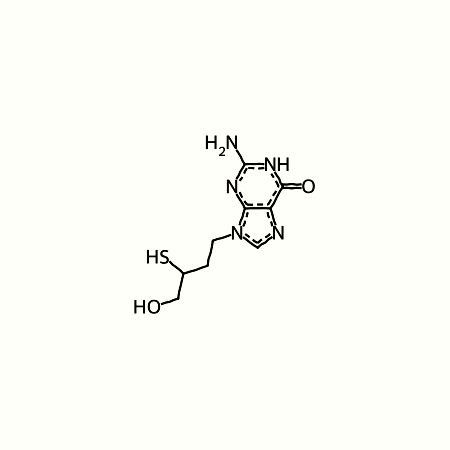 Nc1nc2c(ncn2CCC(S)CO)c(=O)[nH]1